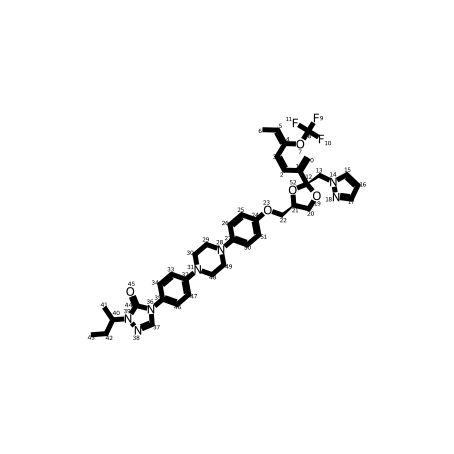 C=C(/C=C\C(=C/C)OC(F)(F)F)[C@]1(Cn2cccn2)OC[C@@H](COc2ccc(N3CCN(c4ccc(-n5cnn(C(C)CC)c5=O)cc4)CC3)cc2)O1